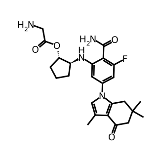 Cc1cn(-c2cc(F)c(C(N)=O)c(N[C@H]3CCC[C@@H]3OC(=O)CN)c2)c2c1C(=O)CC(C)(C)C2